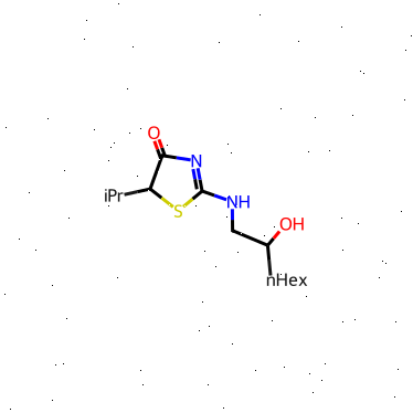 CCCCCCC(O)CNC1=NC(=O)C(C(C)C)S1